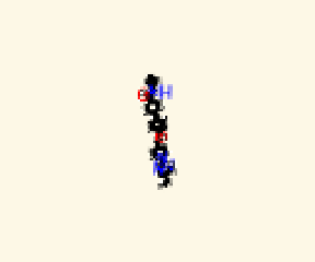 CCc1cnc(N2CCC(COc3ccc(C4=CCC(C(=O)NC5CCC5)CC4)cc3)CC2)nc1